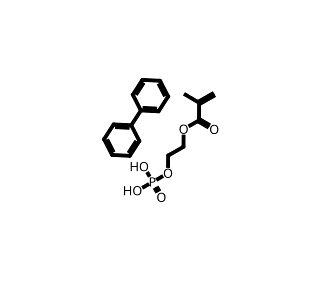 C=C(C)C(=O)OCCOP(=O)(O)O.c1ccc(-c2ccccc2)cc1